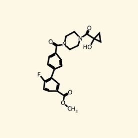 COC(=O)c1ccc(F)c(-c2ccc(C(=O)N3CCN(C(=O)C4(O)CC4)CC3)cc2)c1